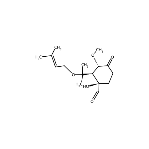 CO[C@@H]1C(=O)CC[C@](O)(C=O)[C@H]1C(C)(C)OCC=C(C)C